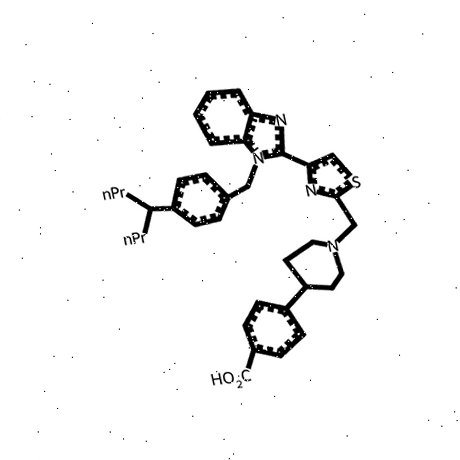 CCCC(CCC)c1ccc(Cn2c(-c3csc(CN4CCC(c5ccc(C(=O)O)cc5)CC4)n3)nc3ccccc32)cc1